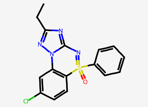 CCc1nc2n(n1)-c1cc(Cl)ccc1S(=O)(c1ccccc1)=N2